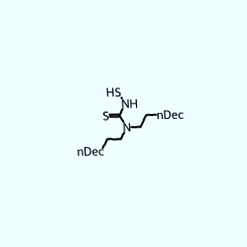 CCCCCCCCCCCCN(CCCCCCCCCCCC)C(=S)NS